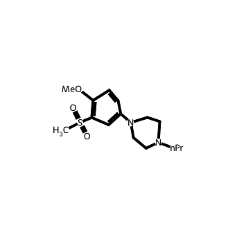 CCCN1CCN(c2ccc(OC)c(S(C)(=O)=O)c2)CC1